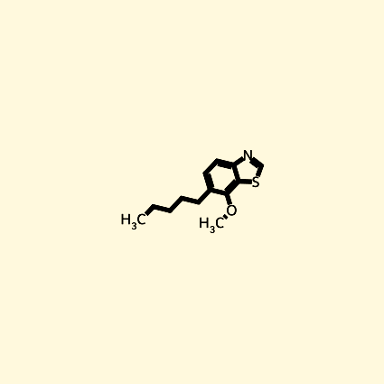 CCCCCc1ccc2ncsc2c1OC